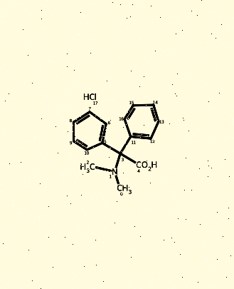 CN(C)C(C(=O)O)(c1ccccc1)c1ccccc1.Cl